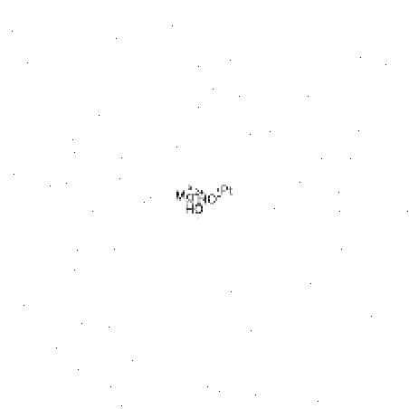 [Mg+2].[OH-].[OH-].[Pt]